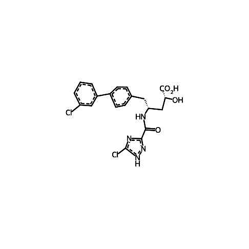 O=C(N[C@H](Cc1ccc(-c2cccc(Cl)c2)cc1)C[C@@H](O)C(=O)O)c1n[nH]c(Cl)n1